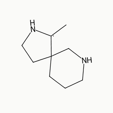 C[C]1NCCC12CCCNC2